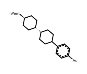 CCCCC[C@H]1CC[C@H](C2CCC(c3ccc(C(C)=O)cc3)CC2)CC1